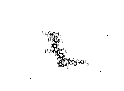 CCOC(=O)CC(=O)CNCC(C)(C(=O)N1CCCC1)c1ccc2c(c1)nc(C(N)c1ccc(C(=N)NC(=O)OC(C)C)cc1)n2C